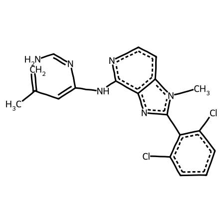 C=C(C)/C=C(\N=C/N)Nc1nccc2c1nc(-c1c(Cl)cccc1Cl)n2C